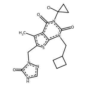 Cc1c(Cn2nc[nH]c2=O)sc2c1c(=O)n(C1(Cl)CC1)c(=O)n2CC1CCC1